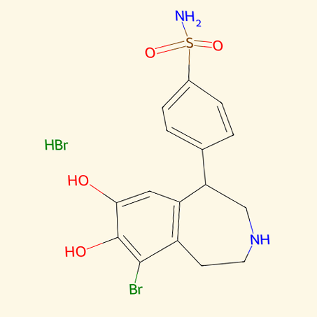 Br.NS(=O)(=O)c1ccc(C2CNCCc3c2cc(O)c(O)c3Br)cc1